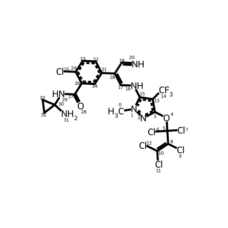 Cn1nc(OC(Cl)(Cl)C(Cl)=C(Cl)Cl)c(C(F)(F)F)c1N/C=C(\C=N)c1ccc(Cl)c(C(=O)NC2(N)CC2)c1